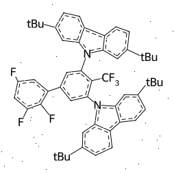 CC(C)(C)c1ccc2c3ccc(C(C)(C)C)cc3n(-c3cc(-c4cc(F)cc(F)c4F)cc(-n4c5cc(C(C)(C)C)ccc5c5ccc(C(C)(C)C)cc54)c3C(F)(F)F)c2c1